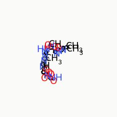 C[C@H]1CN([C@H]2CCN3Cc4ccc5c(c4OC[C@H]3C2)C(=O)N(C2CCC(=O)NC2=O)C5=O)CCN1c1ccc(Nc2cc(-c3ccnc(N4CCn5c(cc6c5CC(C)(C)C6)C4=O)c3CO)cn(C)c2=O)nc1